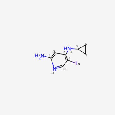 Nc1cc(NC2CC2)c(I)cn1